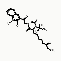 CCC(=O)CCCCCC(C(=O)NCC(=O)c1cc2ccccc2n(C)c1=O)N(C(=O)O)C(C)(C)C